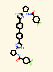 O=C(N[C@H]1CCC[C@H]1c1nc(-c2ccc(-c3ccc(-c4c[nH]c([C@@H]5CCC[C@@H]5NC(=O)C5CCC(F)(F)CC5)n4)cc3)cc2)c[nH]1)C1CCC(F)(F)CC1